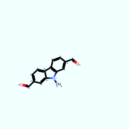 Cn1c2cc(C=O)ccc2c2ccc(C=O)cc21